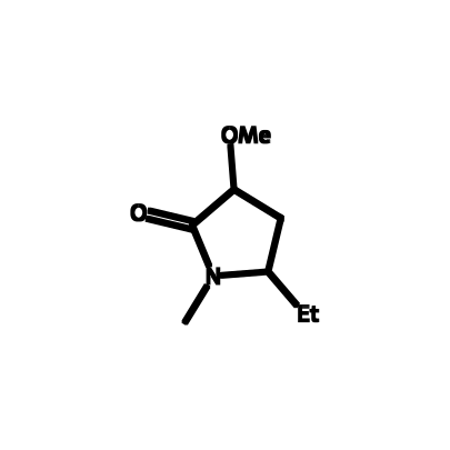 CCC1CC(OC)C(=O)N1C